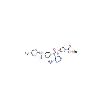 CC(C)(C)OC(=O)N1CC[C@@H](n2c(=O)n(-c3ccc(C(=O)Nc4ccc(C(F)(F)F)cn4)cc3)c3c(N)ncnc32)C1